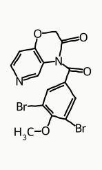 COc1c(Br)cc(C(=O)N2C(=O)COc3ccncc32)cc1Br